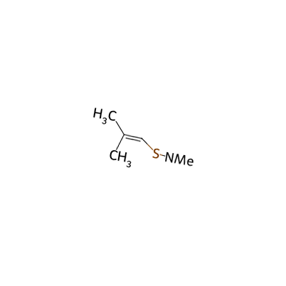 CNSC=C(C)C